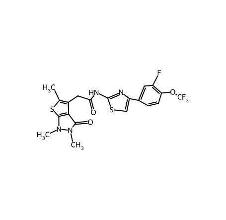 Cc1sc2c(c1CC(=O)Nc1nc(-c3ccc(OC(F)(F)F)c(F)c3)cs1)c(=O)n(C)n2C